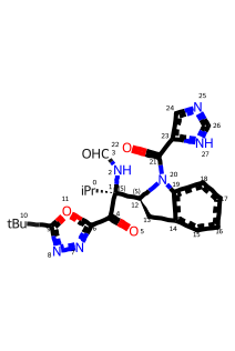 CC(C)[C@@](NC=O)(C(=O)c1nnc(C(C)(C)C)o1)[C@@H]1Cc2ccccc2N1C(=O)c1cnc[nH]1